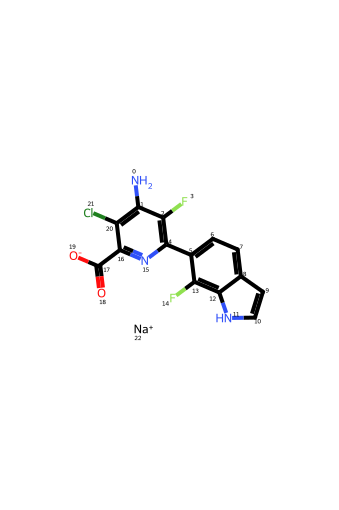 Nc1c(F)c(-c2ccc3cc[nH]c3c2F)nc(C(=O)[O-])c1Cl.[Na+]